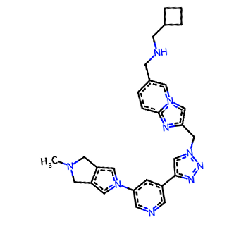 CN1Cc2cn(-c3cncc(-c4cn(Cc5cn6cc(CNCC7CCC7)ccc6n5)nn4)c3)cc2C1